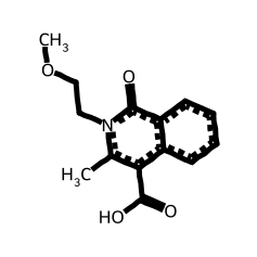 COCCn1c(C)c(C(=O)O)c2ccccc2c1=O